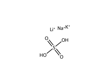 O=S(=O)(O)O.[K+].[Li+].[Na+]